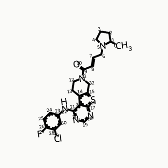 CC1CCCN1CC=CC(=O)N1CCc2c(sc3ncnc(Nc4ccc(F)c(Cl)c4)c23)C1